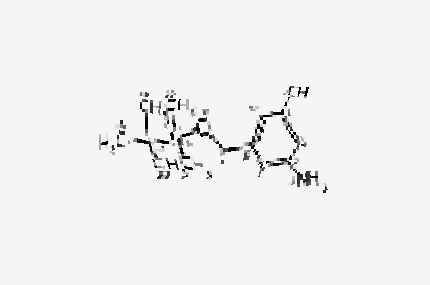 [CH]c1cc(N)cc(CO[Si](C)(C)C(C)(C)C)c1